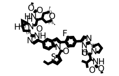 CCc1ccc(C2Oc3cc(-c4cnc([C@@H]5CCCN5C(=O)[C@@H](NC(=O)OC)C(C)C)[nH]4)cc(F)c3-c3cc4cc(-c5cnc([C@@H]6C[C@H]7C[C@H]7N6C(=O)C(NC(=O)OC)C6C[C@@H](C)O[C@@H](C)C6)[nH]5)ccc4n32)s1